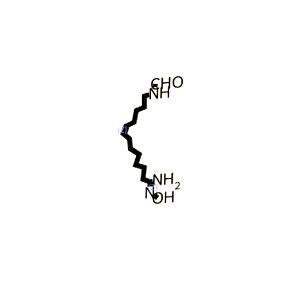 N/C(CCCCCC/C=C\CCCCNC=O)=N\O